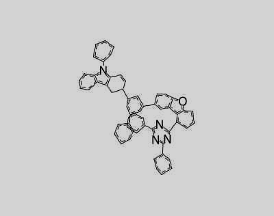 C1=CC(c2cc(-c3ccccc3)cc(-c3ccc4oc5cccc(-c6nc(-c7ccccc7)nc(-c7ccccc7)n6)c5c4c3)c2)Cc2c1n(-c1ccccc1)c1ccccc21